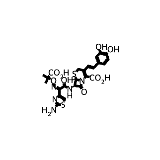 CC(C)(O/N=C(\C(=O)N[C@@H]1C(=O)N2C(C(=O)O)=C(C=Cc3ccc(O)c(O)c3)CS[C@H]12)c1csc(N)n1)C(=O)O